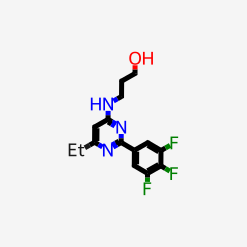 CCc1cc(NCCCO)nc(-c2cc(F)c(F)c(F)c2)n1